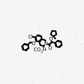 CC1(O[C@H](C(=O)N2Cc3ccc(Cl)c(OCc4ccccc4)c3C[C@H]2C(=O)O)c2ccccc2)CCCC1